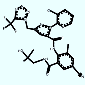 Cc1cc(C#N)cc(C(=O)NCC(C)(C)O)c1NC(=O)c1cc(Cn2nnnc2C(F)(F)F)nn1-c1ncccc1Cl